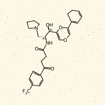 O=C(CCC(=O)c1ccc(C(F)(F)F)cc1)N[C@H](CN1CCCC1)[C@@H](O)C1=COC=C(C2=CC=CCC2)O1